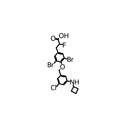 O=C(O)C(F)Cc1cc(Br)c(OCc2cc(Cl)cc(NC3CCC3)c2)c(Br)c1